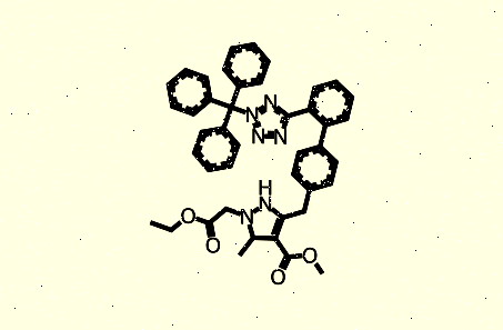 CCOC(=O)CN1NC(Cc2ccc(-c3ccccc3-c3nnn(C(c4ccccc4)(c4ccccc4)c4ccccc4)n3)cc2)=C(C(=O)OC)C1C